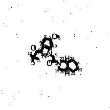 COc1ccc2c(C(=O)C(C)(C)C)nn(CC(=O)N3CC[C@@H]4CCCC[C@H]4C3)c2c1